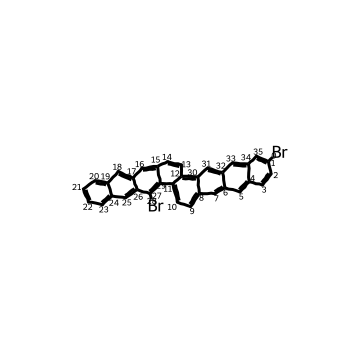 Brc1ccc2cc3cc4ccc5c(ccc6cc7cc8ccccc8cc7c(Br)c65)c4cc3cc2c1